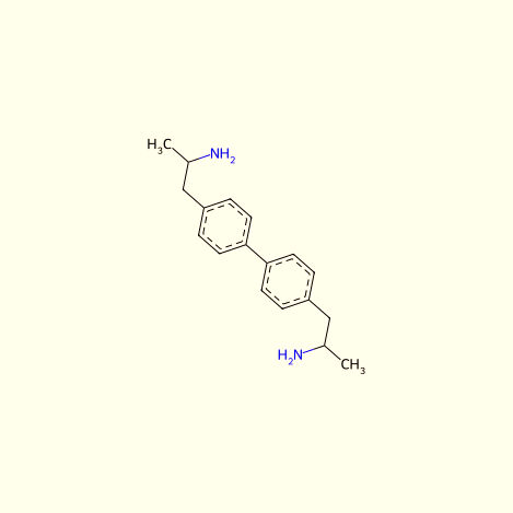 CC(N)Cc1ccc(-c2ccc(CC(C)N)cc2)cc1